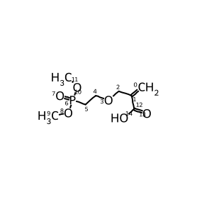 C=C(COCCP(=O)(OC)OC)C(=O)O